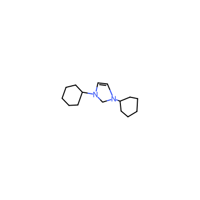 C1=CN(C2CCCCC2)CN1C1CCCCC1